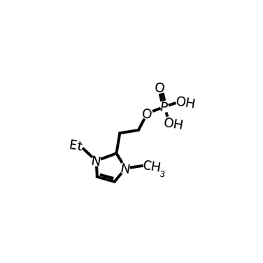 CCN1C=CN(C)C1CCOP(=O)(O)O